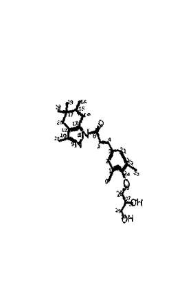 Cc1cc(CCC(=O)n2nc(C)c3c2CC(C)C(C)(C)C3)cc(C)c1OCC(O)CO